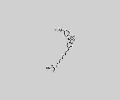 CC(C)(C)OC(=O)CCCCCCCCCc1ccc(S(=O)(=O)Nc2ncc(C(=O)O)cn2)cc1